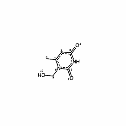 Cc1cc(=O)[nH]c(=O)n1CO